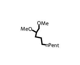 CCCCCCCCC(COC)OC